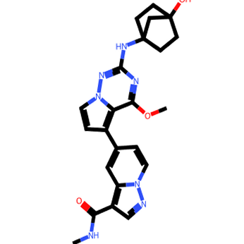 CNC(=O)c1cnn2ccc(-c3ccn4nc(NC56CCC(O)(CC5)C6)nc(OC)c34)cc12